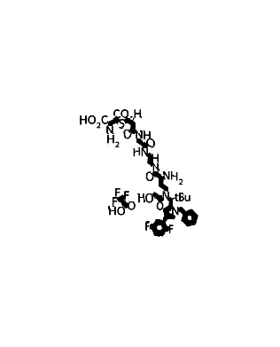 CC(C)(C)[C@H](c1cc(-c2cc(F)ccc2F)cn1Cc1ccccc1)N(CC[C@H](N)C(=O)NCCNC(=O)CNC(=O)CC(SC[C@H](N)C(=O)O)C(=O)O)C(=O)CO.O=C(O)C(F)(F)F